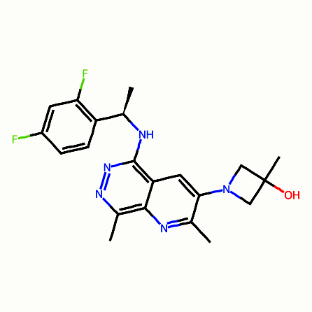 Cc1nc2c(C)nnc(N[C@H](C)c3ccc(F)cc3F)c2cc1N1CC(C)(O)C1